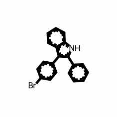 Brc1ccc(-c2c(-c3ccccc3)[nH]c3ccccc23)cc1